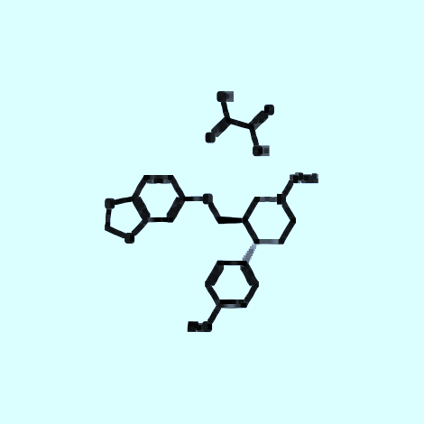 CCCCCN1CC[C@H](c2ccc(OC)cc2)[C@@H](COc2ccc3c(c2)OCO3)C1.O=C(O)C(=O)O